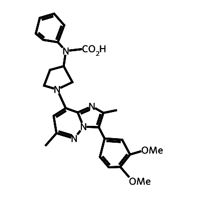 COc1ccc(-c2c(C)nc3c(N4CCC(N(C(=O)O)c5ccccc5)C4)cc(C)nn23)cc1OC